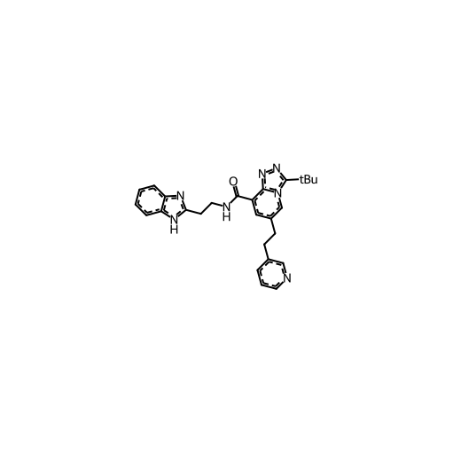 CC(C)(C)c1nnc2c(C(=O)NCCc3nc4ccccc4[nH]3)cc(CCc3cccnc3)cn12